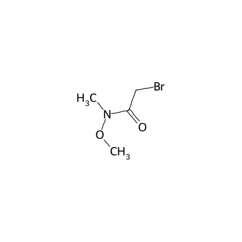 CON(C)C(=O)CBr